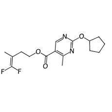 CC(CCOC(=O)c1cnc(OC2CCCC2)nc1C)=C(F)F